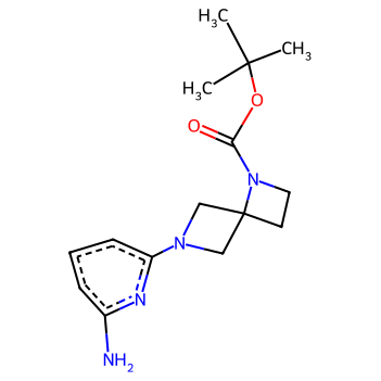 CC(C)(C)OC(=O)N1CCC12CN(c1cccc(N)n1)C2